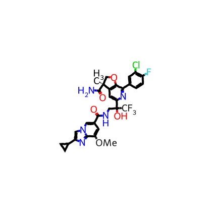 COc1cc(C(=O)NCC(O)(c2cc3c(c(-c4ccc(F)c(Cl)c4)n2)OC[C@]3(C)C(N)=O)C(F)(F)F)cn2cc(C3CC3)nc12